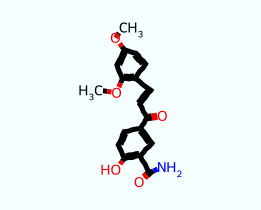 COc1ccc(/C=C/C(=O)c2ccc(O)c(C(N)=O)c2)c(OC)c1